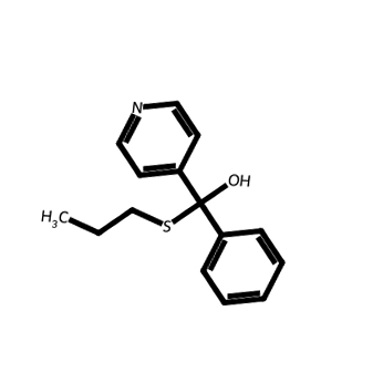 CCCSC(O)(c1ccccc1)c1ccncc1